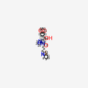 O=C(CCCc1nc2ccccc2s1)NC[C@H](CN1CCCC1)[C@H](O)c1ccc2c(c1)OCCO2